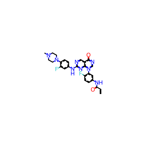 C=CC(=O)Nc1ccc(F)c(-n2cnc(=O)c3cnc(Nc4ccc(N5CCN(C)CC5)c(F)c4)nc32)c1